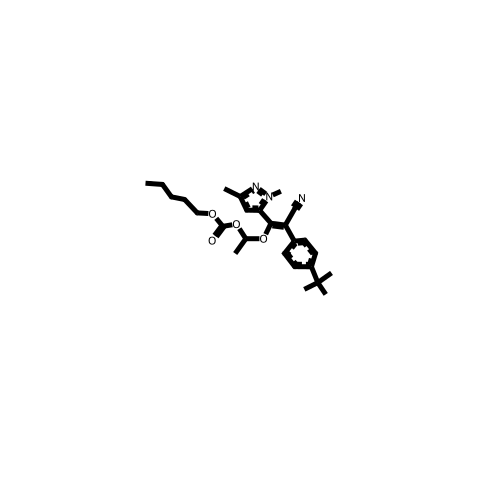 CCCCCOC(=O)OC(C)O/C(=C(/C#N)c1ccc(C(C)(C)C)cc1)c1cc(C)nn1C